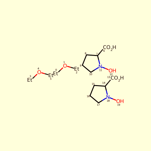 CCOCC.CCOCC.O=C(O)C1CCCN1O.O=C(O)C1CCCN1O